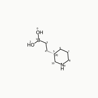 OB(O)CC[C@@H]1CCCNC1